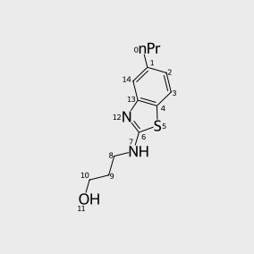 CCCc1ccc2sc(NCCCO)nc2c1